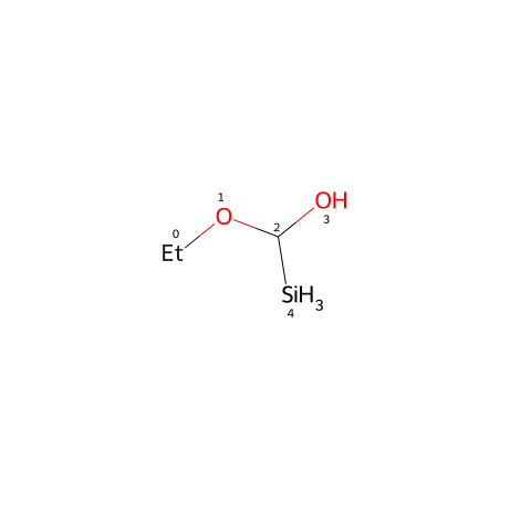 CCOC(O)[SiH3]